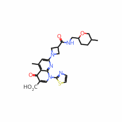 Cc1cc(N2CC(C(=O)NCC3CCC(C)CO3)C2)nc2c1c(=O)c(C(=O)O)cn2-c1nccs1